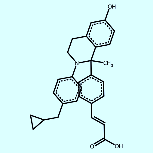 CC1(c2ccc(C=CC(=O)O)cc2)c2ccc(O)cc2CCN1c1ccc(CC2CC2)cc1